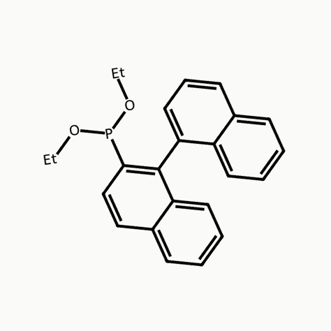 CCOP(OCC)c1ccc2ccccc2c1-c1cccc2ccccc12